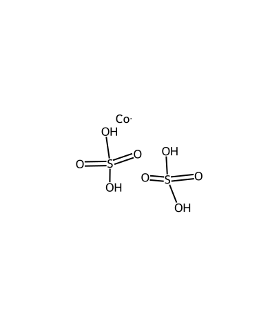 O=S(=O)(O)O.O=S(=O)(O)O.[Co]